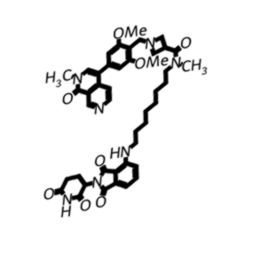 COc1cc(-c2cn(C)c(=O)c3cnccc23)cc(OC)c1CN1CC(C(=O)N(C)CCCCCCCCNc2cccc3c2C(=O)N(C2CCC(=O)NC2=O)C3=O)C1